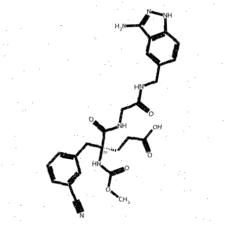 COC(=O)N[C@@](CCC(=O)O)(Cc1cccc(C#N)c1)C(=O)NCC(=O)NCc1ccc2[nH]nc(N)c2c1